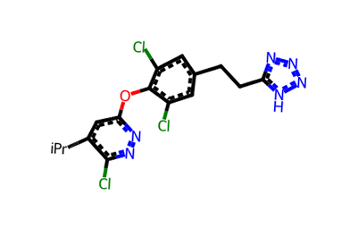 CC(C)c1cc(Oc2c(Cl)cc(CCc3nnn[nH]3)cc2Cl)nnc1Cl